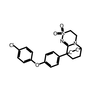 O=S1(=O)CCN2C(=N1)C1(c3ccc(Oc4ccc(Cl)cc4)cc3)CCC2CC1